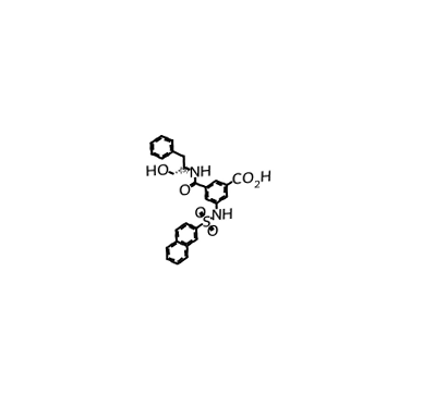 O=C(O)c1cc(NS(=O)(=O)c2ccc3ccccc3c2)cc(C(=O)N[C@H](CO)Cc2ccccc2)c1